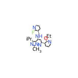 CCOc1ncccc1-c1cc(NCc2cccnc2F)c2c(C(C)C)nc(C)n2n1